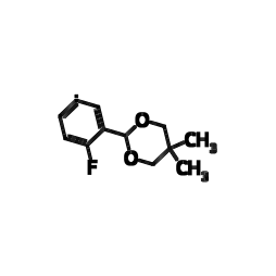 CC1(C)COC(c2c[c]ccc2F)OC1